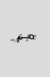 CCC(Cc1c(I)cc(I)c(NC(=O)CCCCCNC(=O)CN2CCNCCNCCNCC2)c1I)C(=O)O